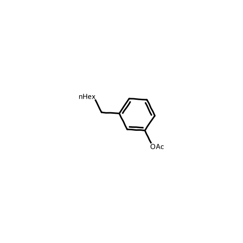 CCCCCCCc1cccc(OC(C)=O)c1